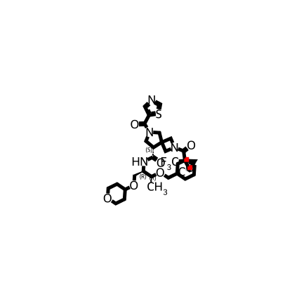 C[C@@H](OCC12CCC(CC1)OC2)[C@@H](COC1CCOCC1)NC(=O)[C@@H]1CN(C(=O)c2cncs2)CC12CN(C(=O)C1(C(F)(F)F)CC1)C2